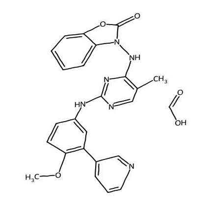 COc1ccc(Nc2ncc(C)c(Nn3c(=O)oc4ccccc43)n2)cc1-c1cccnc1.O=CO